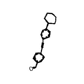 O=Cc1ccc(C#Cc2ccc(C3CCCCC3)cc2)cc1